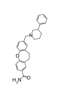 NC(=O)c1ccc2c(c1)CCc1cc(CN3CCCC(c4ccccc4)C3)ccc1O2